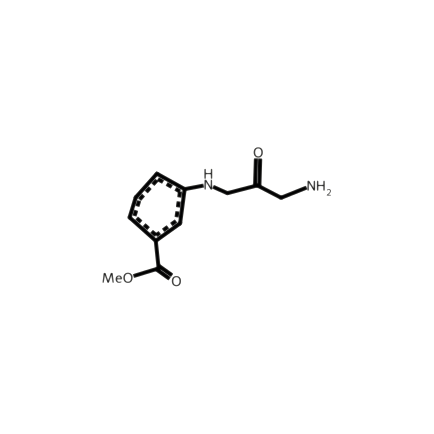 COC(=O)c1cccc(NCC(=O)CN)c1